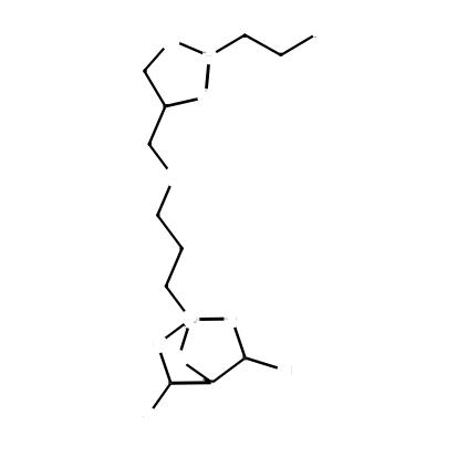 CC(C)CCB1OCC(COCCC[Si]23OC(C)C(O2)C(C)O3)O1